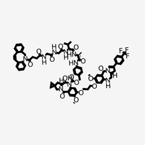 COc1cc2c(cc1OCCCOc1cc3c(cc1OC)C(=O)N1CC4(CC4)C[C@H]1C(O)N3C(=O)OCc1ccc(NC(=O)[C@H](C)NC(=O)[C@@H](NC(=O)CNC(=O)CNC(=O)CCC(=O)N3Cc4ccccc4C#Cc4ccccc43)C(C)C)cc1)NC[C@@H]1CC(c3ccc(C(F)(F)F)cc3)=CN1C2=O